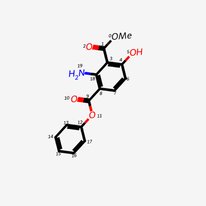 COC(=O)c1c(O)ccc(C(=O)Oc2ccccc2)c1N